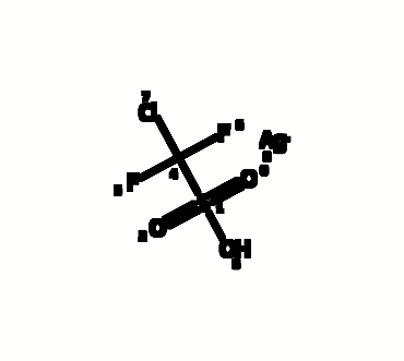 O=S(=O)(O)C(F)(F)Cl.[Ag]